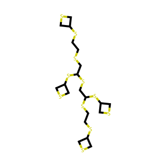 C(CSC1CSC1)SCC(SCC(SCCSC1CSC1)SC1CSC1)SC1CSC1